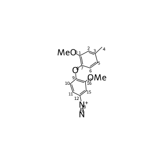 COc1cc(C)ccc1Oc1ccc([N+]#N)cc1OC